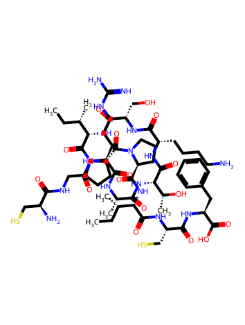 CC[C@H](C)[C@H](NC(=O)[C@@H]1CCCN1C(=O)[C@@H]1CCCN1C(=O)[C@@H](NC(=O)[C@H](CO)NC(=O)[C@H](CCCCN)NC(=O)[C@@H](NC(=O)[C@H](C)NC(=O)[C@H](CCCNC(=N)N)NC(=O)CNC(=O)[C@@H](N)CS)[C@@H](C)O)[C@@H](C)CC)C(=O)N[C@@H](CS)C(=O)N[C@@H](Cc1ccccc1)C(=O)O